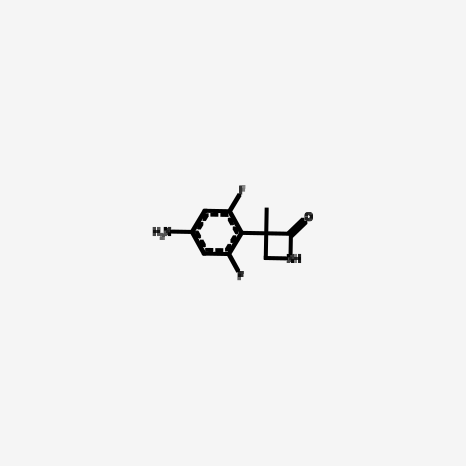 CC1(c2c(F)cc(N)cc2F)CNC1=O